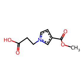 COC(=O)c1ccn(CCC(=O)O)c1